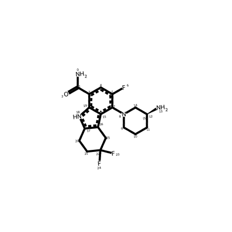 NC(=O)c1cc(F)c(N2CCC[C@H](N)C2)c2c3c([nH]c12)CCC(F)(F)C3